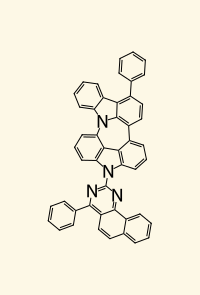 c1ccc(-c2nc(-n3c4cccc5c6ccc(-c7ccccc7)c7c8ccccc8n(c8cccc3c8c54)c67)nc3c2ccc2ccccc23)cc1